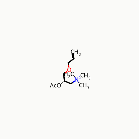 C=CCOC[C@H](C[N+](C)(C)C)OC(C)=O